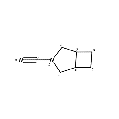 N#CN1CC2CCC2C1